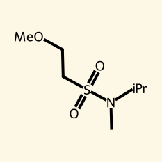 COCCS(=O)(=O)N(C)C(C)C